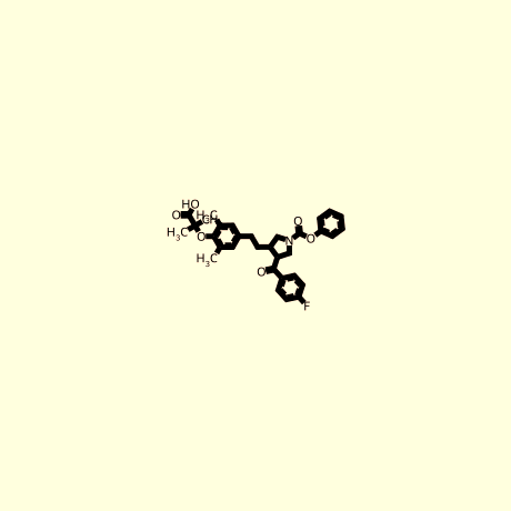 Cc1cc(CCC2CN(C(=O)Oc3ccccc3)CC2C(=O)c2ccc(F)cc2)cc(C)c1OC(C)(C)C(=O)O